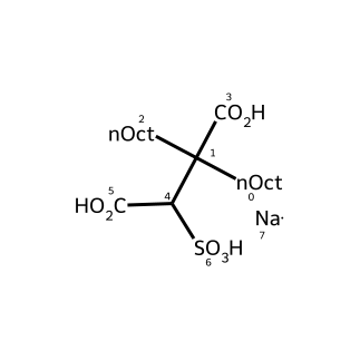 CCCCCCCCC(CCCCCCCC)(C(=O)O)C(C(=O)O)S(=O)(=O)O.[Na]